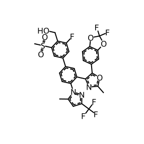 Cc1nc(-c2cc(-c3cc(F)c(CO)c(S(C)(=O)=O)c3)ccc2-n2nc(C(F)(F)F)cc2C)c(-c2ccc3c(c2)OC(F)(F)O3)o1